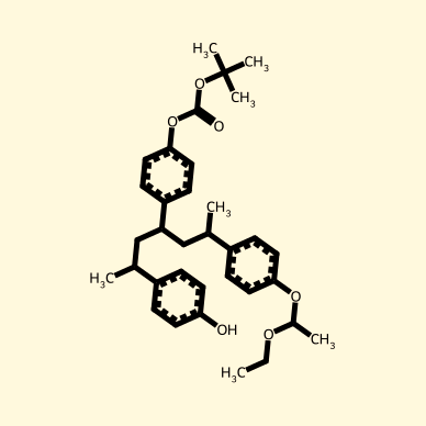 CCOC(C)Oc1ccc(C(C)CC(CC(C)c2ccc(O)cc2)c2ccc(OC(=O)OC(C)(C)C)cc2)cc1